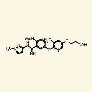 CNCCOc1cnc(Oc2ccc(NC)c(C(=N)Nc3ccn(C)n3)c2)c(C)c1